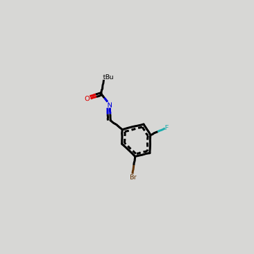 CC(C)(C)C(=O)/N=C/c1cc(F)cc(Br)c1